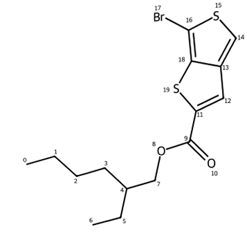 CCCCC(CC)COC(=O)c1cc2csc(Br)c2s1